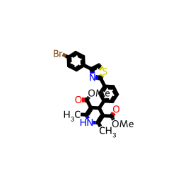 COC(=O)C1=C(C)NC(C)=C(C(=O)OC)C1c1cccc(-c2nc(-c3ccc(Br)cc3)cs2)c1